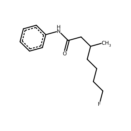 CC(CCCCF)CC(=O)Nc1ccccc1